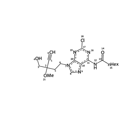 C#CC(CO)(CCn1cnc2c(NC(=O)CCCCCC)nc(Cl)nc21)OC